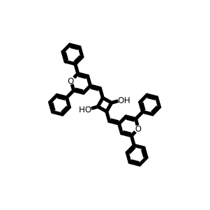 OC1C(C=C2C=C(c3ccccc3)OC(c3ccccc3)=C2)C(O)C1C=C1C=C(c2ccccc2)OC(c2ccccc2)=C1